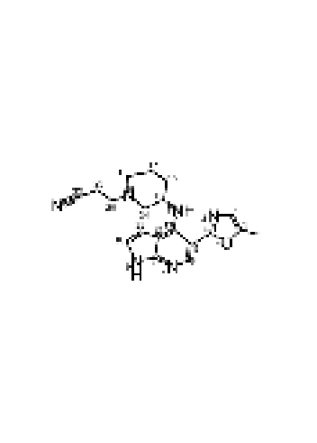 Cc1cnc(-c2cnc3[nH]ccc3c2N[C@@H]2CCCN(CCC#N)C2)o1